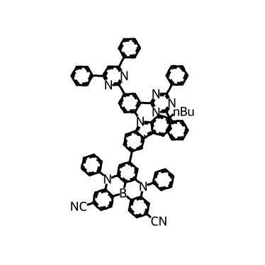 CCCCc1ccc2c3cc(-c4cc5c6c(c4)N(c4ccccc4)c4cc(C#N)ccc4B6c4ccc(C#N)cc4N5c4ccccc4)ccc3n(-c3ccc(-c4nc(-c5ccccc5)cc(-c5ccccc5)n4)cc3-c3nc(-c4ccccc4)nc(-c4ccccc4)n3)c2c1